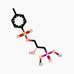 CCOP(=O)(C[C@H](O)COS(=O)(=O)c1ccc(C)cc1)OCC